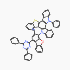 N#Cc1cc(-c2nc(-c3ccccc3)nc(-c3ccccc3)n2)c2c(oc3ccccc32)c1-n1c2ccccc2c2c3c(c4ccccc4n3-c3ccccc3)c3sc4ccccc4c3c21